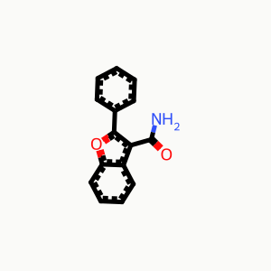 NC(=O)c1c(-c2ccccc2)oc2ccccc12